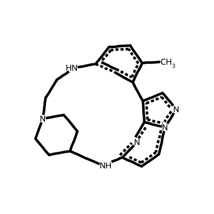 Cc1ccc2cc1-c1cnn3ccc(nc13)NC1CCN(CCN2)CC1